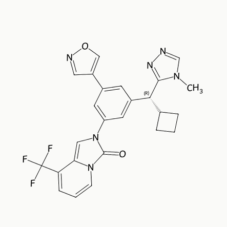 Cn1cnnc1[C@@H](c1cc(-c2cnoc2)cc(-n2cc3c(C(F)(F)F)cccn3c2=O)c1)C1CCC1